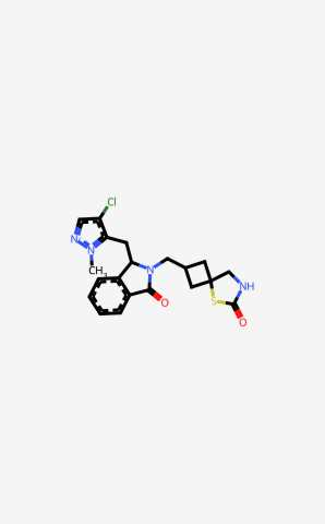 Cn1ncc(Cl)c1CC1c2ccccc2C(=O)N1CC1CC2(CNC(=O)S2)C1